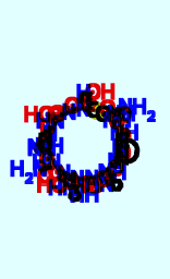 C[C@@H]1NC(=O)[C@@H]2CCCC/C=C\CCCC[C@@H](C(=O)N2C)N(C)C(=O)[C@H](Cc2c[nH]c3ccccc23)NC(=O)[C@H](CO)NC(=O)[C@H](Cc2c[nH]c3ccccc23)NC(=O)[C@@H]2C[C@@H](O)CN2C(=O)[C@H](CCC(N)=O)NC(=O)[C@H](Cc2cnc[nH]2)NC(=O)[C@@H]2CCCN2C(=O)[C@H](CC(=O)O)NC(=O)[C@H](C)N(C)C(=O)[C@H](Cc2ccc(O)cc2)NC(=O)CSC[C@@H](C(=O)NCC(N)=O)NC1=O